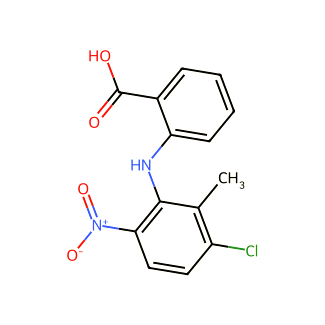 Cc1c(Cl)ccc([N+](=O)[O-])c1Nc1ccccc1C(=O)O